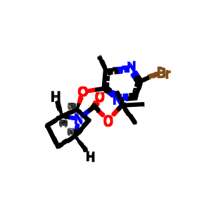 Cc1nc(Br)cnc1O[C@H]1C[C@@H]2CC[C@H]1N2C(=O)OC(C)(C)C